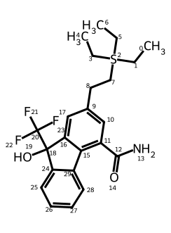 CCS(CC)(CC)CCc1cc(C(N)=O)c2c(c1)C(O)(C(F)(F)F)c1ccccc1-2